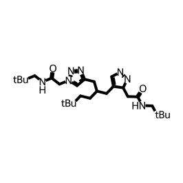 CC(C)(C)CCC(CC1=CN=NC1CC(=O)NCC(C)(C)C)Cc1cn(CC(=O)NCC(C)(C)C)nn1